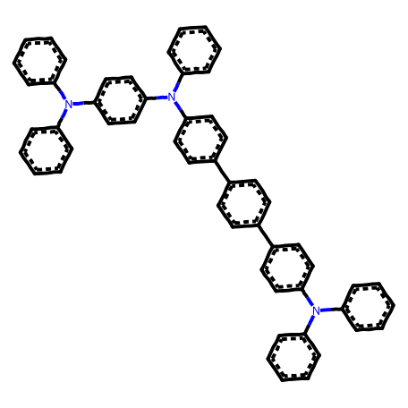 c1ccc(N(c2ccccc2)c2ccc(-c3ccc(-c4ccc(N(c5ccccc5)c5ccc(N(c6ccccc6)c6ccccc6)cc5)cc4)cc3)cc2)cc1